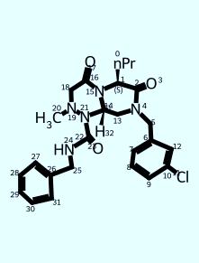 CCC[C@H]1C(=O)N(Cc2cccc(Cl)c2)C[C@H]2N1C(=O)CN(C)N2C(=O)NCc1ccccc1